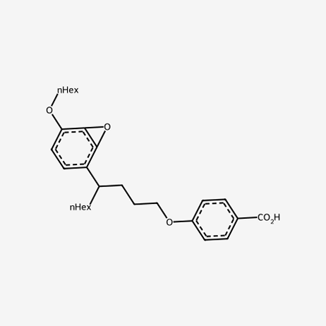 CCCCCCOc1ccc(C(CCCCCC)CCCOc2ccc(C(=O)O)cc2)c2c1O2